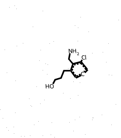 NCc1c(Cl)cccc1CCCO